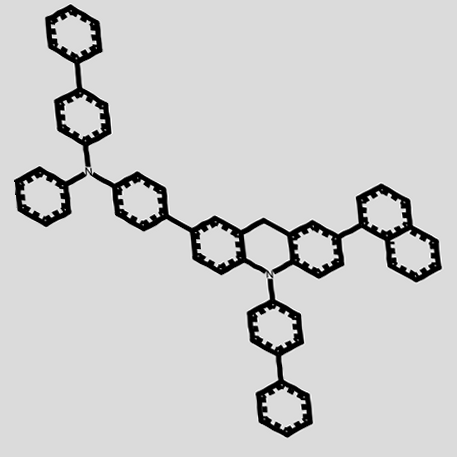 c1ccc(-c2ccc(N(c3ccccc3)c3ccc(-c4ccc5c(c4)Cc4cc(-c6cccc7ccccc67)ccc4N5c4ccc(-c5ccccc5)cc4)cc3)cc2)cc1